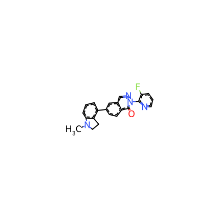 CN1CCc2c(-c3ccc4c(=O)n(-c5ncccc5F)ncc4c3)cccc21